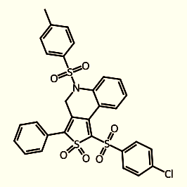 Cc1ccc(S(=O)(=O)N2CC3=C(c4ccccc4)S(=O)(=O)C(S(=O)(=O)c4ccc(Cl)cc4)=C3c3ccccc32)cc1